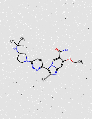 CCOc1cc2nc(C)c(-c3ccc(N4CCC(NC(C)(C)C)C4)nn3)n2cc1C(N)=O